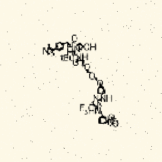 Cc1ncsc1-c1ccc(CNC(=O)[C@@H]2C[C@@H](O)CN2C(=O)C(NC(=O)CCOCCOCCOc2ccc(Nc3ncc(C(F)(F)F)c(NCc4cccc(N(C)S(C)(=O)=O)c4)n3)cc2)C(C)(C)C)cc1